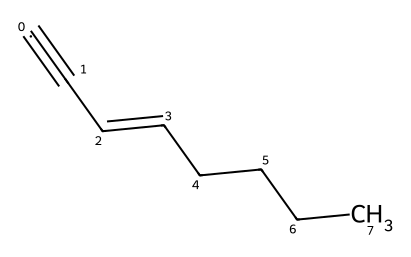 [C]#CC=CCCCC